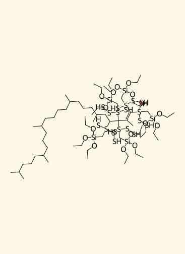 CCO[Si](CS(S)(SS)C(=C(C)C(C(CC(C)CCCC(C)CCCCC(C)CCCC(C)CCCC(C)C)S(S)(C[Si](OCC)(OCC)OCC)SS)(S(S)(C[Si](OCC)(OCC)OCC)SS)S(S)(C[Si](OCC)(OCC)OCC)SS)S(S)(C[Si](OCC)(OCC)OCC)SS)(OCC)OCC